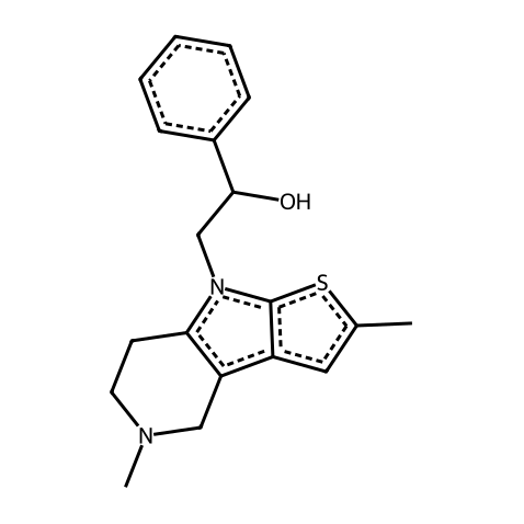 Cc1cc2c3c(n(CC(O)c4ccccc4)c2s1)CCN(C)C3